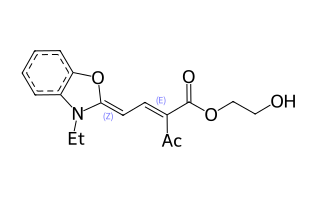 CCN1/C(=C/C=C(\C(C)=O)C(=O)OCCO)Oc2ccccc21